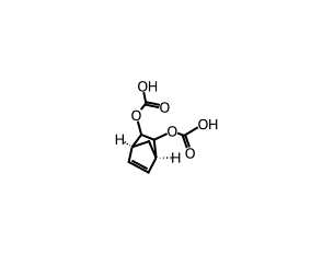 O=C(O)OC1C(OC(=O)O)[C@H]2C=C[C@@H]1C2